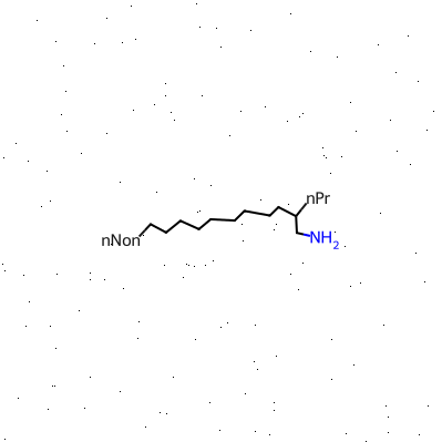 CCCCCCCCCCCCCCCCCCC(CN)CCC